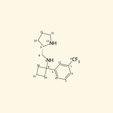 FC(F)(F)c1cccc(C2(NC[C@@H]3CCCN3)CCC2)c1